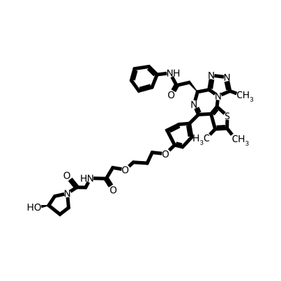 Cc1sc2c(c1C)C(c1ccc(OCCCOCC(=O)NCC(=O)N3CC[C@@H](O)C3)cc1)=N[C@@H](CC(=O)Nc1ccccc1)c1nnc(C)n1-2